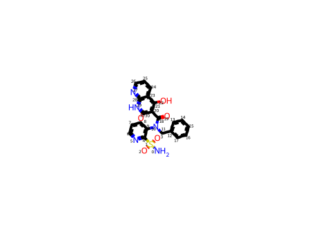 NS(=O)(=O)c1ncccc1N(Cc1ccccc1)C(=O)c1c(O)c2cccnc2[nH]c1=O